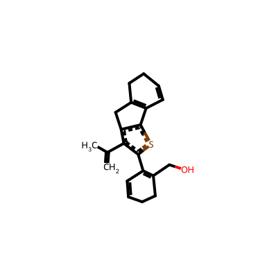 C=C(C)c1c(C2=C(CO)CCC=C2)sc2c1CC1=C2C=CCC1